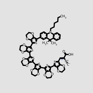 [C-]#[N+]/C(=C\c1sc(-c2sc(-c3sc(-c4sc(-c5sc(-c6sc(-c7ccc8c(c7)C(C)(C)c7ccccc7N8CCCCCC)c7c6OCCO7)c6c5OCCO6)c5c4OCCO5)c4c3OCCO4)c3c2OCCO3)c2c1OCCO2)C(=O)O